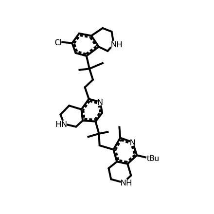 Cc1nc(C(C)(C)C)c2c(c1CC(C)(C)c1cnc(CCC(C)(C)c3cc(Cl)cc4c3CNCC4)c3c1CNCC3)CCNC2